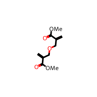 C=C(COCC(=C)C(=O)OC)C(=O)OC